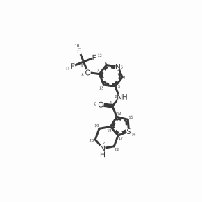 O=C(Nc1cncc(OC(F)(F)F)c1)c1csc2c1CCNC2